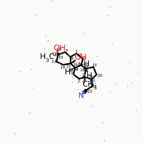 CC12CC[C@H]3[C@@H](CCC4C[C@](C)(O)CCC43CO)[C@@H]1CC/C2=C/C#N